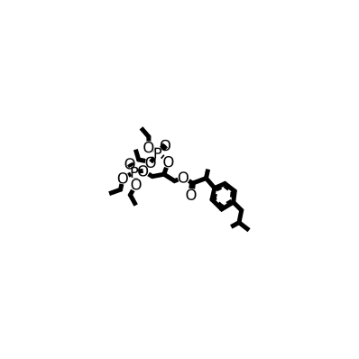 CCOP(=O)(OCC)OCC(COC(=O)C(C)c1ccc(CC(C)C)cc1)OP(=O)(OCC)OCC